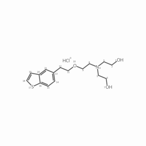 Cl.OCCN(CCO)CCOCCc1ccc2sccc2c1